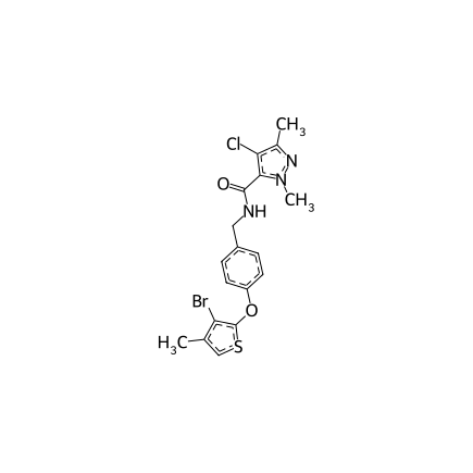 Cc1csc(Oc2ccc(CNC(=O)c3c(Cl)c(C)nn3C)cc2)c1Br